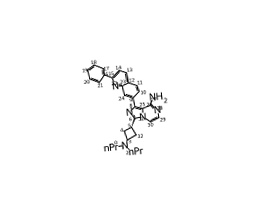 CCCN(CCC)[C@H]1C[C@@H](c2nc(-c3ccc4ccc(-c5ccccc5)nc4c3)c3c(N)nccn32)C1